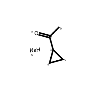 CC(=O)C1CC1.[NaH]